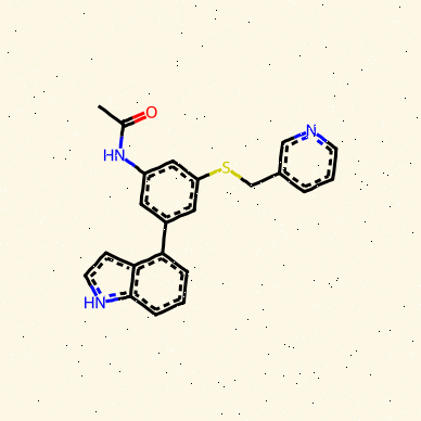 CC(=O)Nc1cc(SCc2cccnc2)cc(-c2cccc3[nH]ccc23)c1